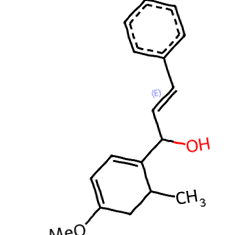 COC1=CC=C(C(O)/C=C/c2ccccc2)C(C)C1